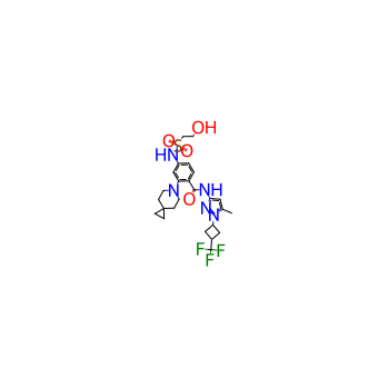 Cc1cc(NC(=O)c2ccc(NS(=O)(=O)CCO)cc2N2CCC3(CC2)CC3)nn1C1CC(C(F)(F)F)C1